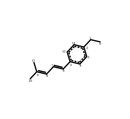 CCc1ccc(C=CC=C(C)C)cc1